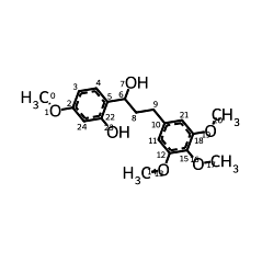 COc1ccc(C(O)CCc2cc(OC)c(OC)c(OC)c2)c(O)c1